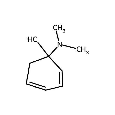 [CH]C1(N(C)C)C=CC=CC1